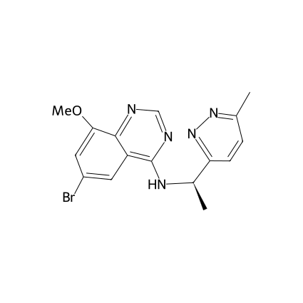 COc1cc(Br)cc2c(N[C@H](C)c3ccc(C)nn3)ncnc12